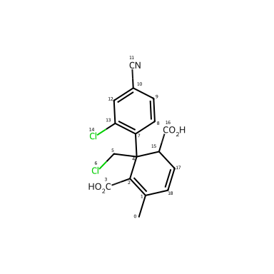 CC1=C(C(=O)O)C(CCl)(c2ccc(C#N)cc2Cl)C(C(=O)O)C=C1